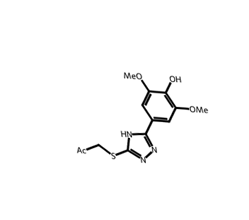 COc1cc(-c2nnc(SCC(C)=O)[nH]2)cc(OC)c1O